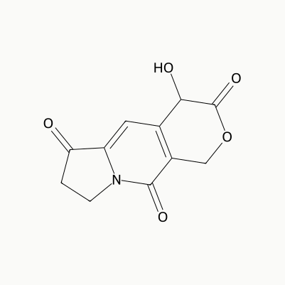 O=C1CCn2c1cc1c(c2=O)COC(=O)C1O